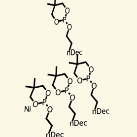 CCCCCCCCCCCCOP1OCC(C)(C)CO1.CCCCCCCCCCCCOP1OCC(C)(C)CO1.CCCCCCCCCCCCOP1OCC(C)(C)CO1.CCCCCCCCCCCCOP1OCC(C)(C)CO1.[Ni]